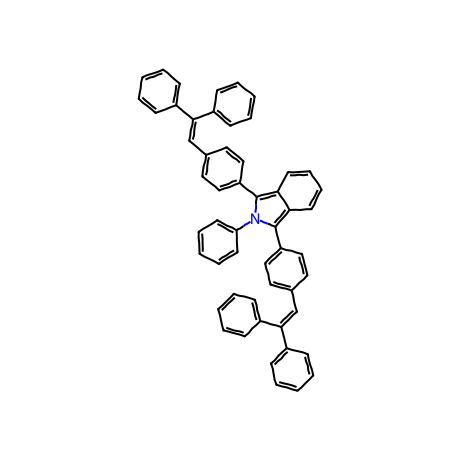 C(=C(c1ccccc1)c1ccccc1)c1ccc(-c2c3ccccc3c(-c3ccc(C=C(c4ccccc4)c4ccccc4)cc3)n2-c2ccccc2)cc1